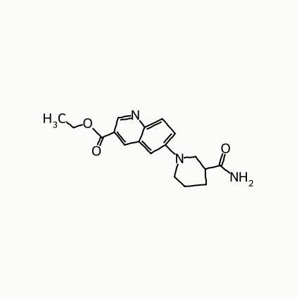 CCOC(=O)c1cnc2ccc(N3CCCC(C(N)=O)C3)cc2c1